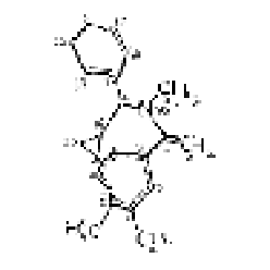 C=C(c1ccc(C)c(C)c1)N(C)C(C1=CCCC=C1)C1CC1